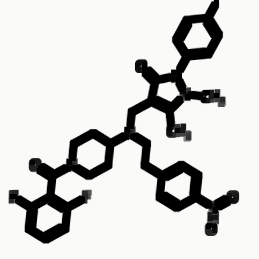 Cc1c(CN(CCc2ccc([SH](=O)=O)cc2)C2CCN(C(=O)c3c(F)cccc3F)CC2)c(=O)n(-c2ccc(F)cc2)n1C